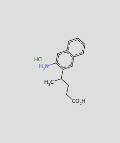 CC(CCC(=O)O)c1cc2ccccc2cc1N.Cl